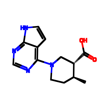 C[C@H]1CCN(c2ncnc3[nH]ccc23)C[C@@H]1C(=O)O